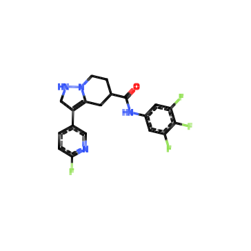 O=C(Nc1cc(F)c(F)c(F)c1)C1CCN2NCC(c3ccc(F)nc3)=C2C1